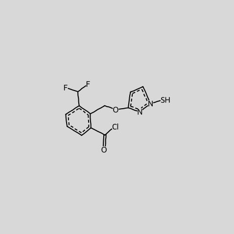 O=C(Cl)c1cccc(C(F)F)c1COc1ccn(S)n1